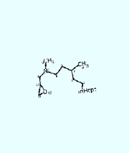 CCCCCCCCCC(C)CCN(C)CC1CO1